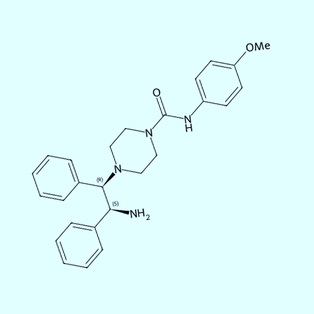 COc1ccc(NC(=O)N2CCN([C@H](c3ccccc3)[C@@H](N)c3ccccc3)CC2)cc1